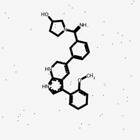 COC1=CCCC=C1c1c[nH]c2c1C=C(C1=CC=CC(C(=N)N3CCC(O)C3)C1)CN2